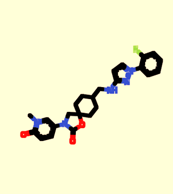 Cn1cc(N2CC3(CCC(CNc4ccn(-c5ccccc5F)n4)CC3)OC2=O)ccc1=O